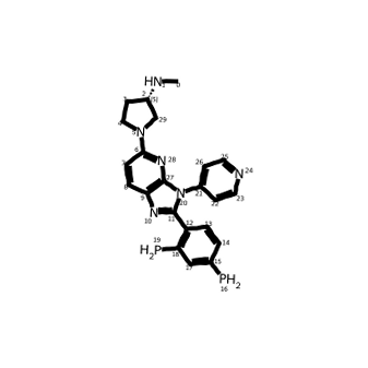 CN[C@H]1CCN(c2ccc3nc(-c4ccc(P)cc4P)n(-c4ccncc4)c3n2)C1